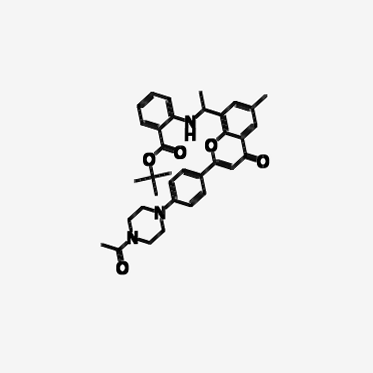 CC(=O)N1CCN(c2ccc(-c3cc(=O)c4cc(C)cc(C(C)Nc5ccccc5C(=O)OC(C)(C)C)c4o3)cc2)CC1